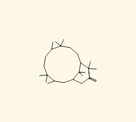 CC12CCC3C(C)(O)C(=O)CC(CC4OC4(C)CCC1O2)C3(C)C